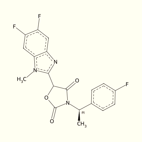 C[C@H](c1ccc(F)cc1)N1C(=O)OC(c2nc3cc(F)c(F)cc3n2C)C1=O